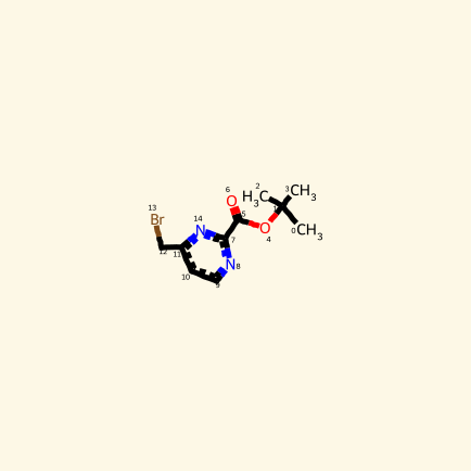 CC(C)(C)OC(=O)c1nccc(CBr)n1